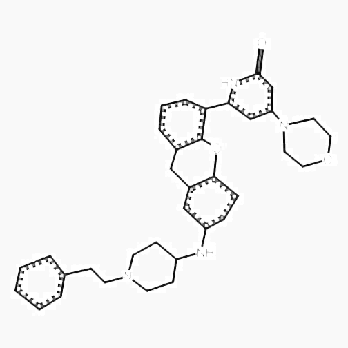 O=c1cc(N2CCOCC2)cc(-c2cccc3c2Oc2ccc(NC4CCN(CCc5ccccc5)CC4)cc2C3)[nH]1